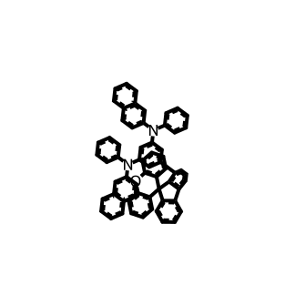 c1ccc(N(c2cc(-c3cccc4c3C3(c5ccccc5Oc5ccccc53)c3ccccc3-4)cc(N(c3ccccc3)c3ccc4ccccc4c3)c2)c2ccc3ccccc3c2)cc1